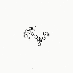 Cc1ccc2ccc3c(C)cc(-c4ccc(-c5ccc(-c6nc(-c7ccccc7)nc(-c7cccc(-c8cccc9ccncc89)c7)n6)cc5)cc4)nc3c2n1